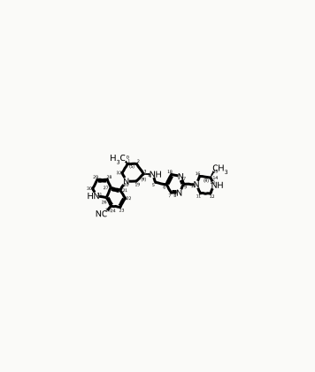 C[C@H]1C[C@@H](NCc2cnc(N3CCN[C@H](C)C3)nc2)CN(c2ccc(C#N)c3c2C=CCN3)C1